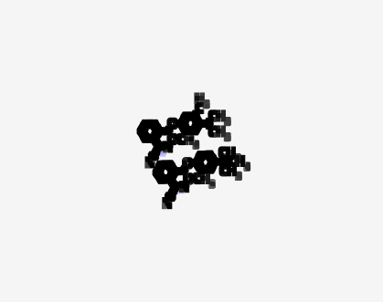 CO/N=C(/C#N)c1ccccc1COc1ccc(C(C)(C)C)cc1.CO/N=C(/C#N)c1ccccc1COc1ccc(C(C)C)c(C)c1